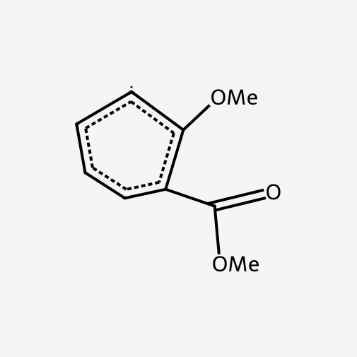 COC(=O)c1ccc[c]c1OC